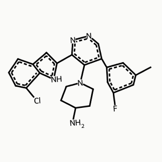 Cc1cc(F)cc(-c2cnnc(-c3cc4cccc(Cl)c4[nH]3)c2N2CCC(N)CC2)c1